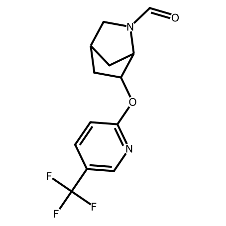 O=CN1CC2CC(Oc3ccc(C(F)(F)F)cn3)C1C2